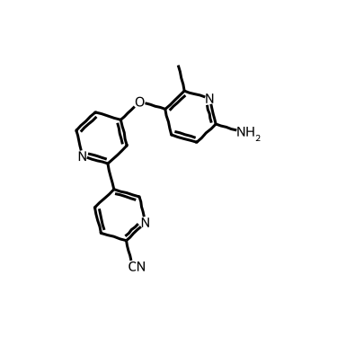 Cc1nc(N)ccc1Oc1ccnc(-c2ccc(C#N)nc2)c1